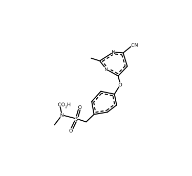 Cc1nc(C#N)cc(Oc2ccc(CS(=O)(=O)N(C)C(=O)O)cc2)n1